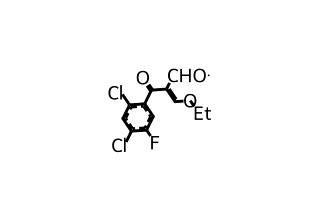 CCOC=C([C]=O)C(=O)c1cc(F)c(Cl)cc1Cl